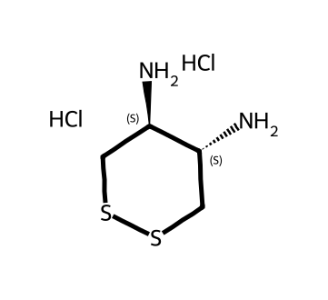 Cl.Cl.N[C@@H]1CSSC[C@H]1N